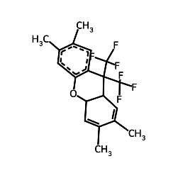 CC1=CC2Oc3cc(C)c(C)cc3C(C(F)(F)F)(C(F)(F)F)C2C=C1C